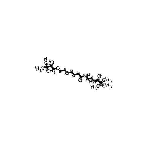 CC(C)(C)C(=O)COCCOCCCC(=O)NCCNC(=O)C(C)(C)C